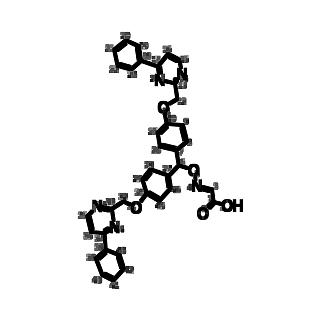 O=C(O)C=NOC(c1ccc(OCc2nccc(-c3ccccc3)n2)cc1)c1ccc(OCc2nccc(-c3ccccc3)n2)cc1